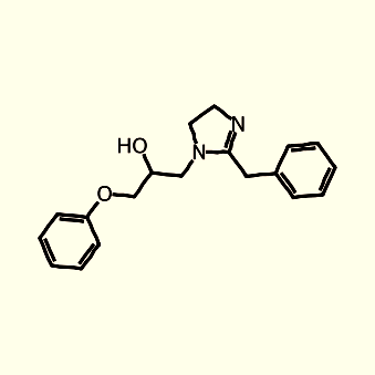 OC(COc1ccccc1)CN1CCN=C1Cc1ccccc1